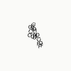 O=C(NS(=O)(=O)c1ccc(OC(F)(F)F)cc1)c1cc(S(=O)(=O)N2CCCC2)ccc1Cl